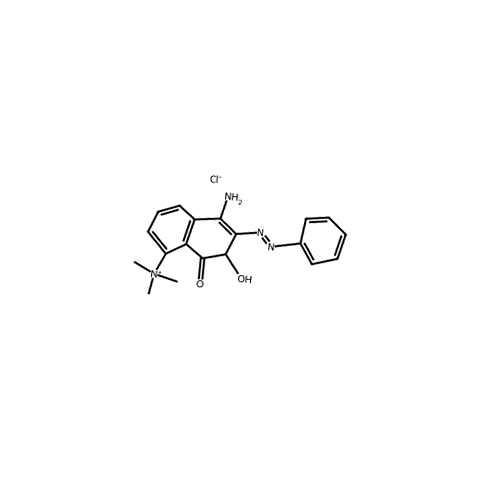 C[N+](C)(C)c1cccc2c1C(=O)C(O)C(N=Nc1ccccc1)=C2N.[Cl-]